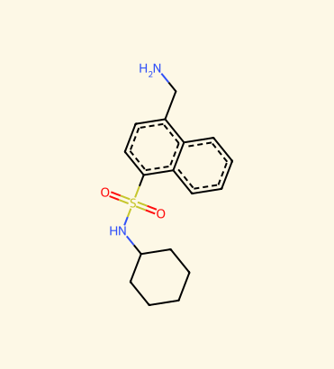 NCc1ccc(S(=O)(=O)NC2CCCCC2)c2ccccc12